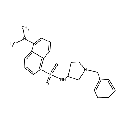 CN(C)c1cccc2c(S(=O)(=O)NC3CCN(Cc4ccccc4)C3)cccc12